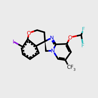 FC(F)OC1=CC(C(F)(F)F)=CN2C[C@@]3(CCOc4c(I)cccc43)N=C12